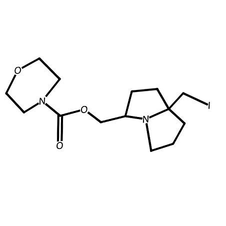 O=C(OCC1CCC2(CI)CCCN12)N1CCOCC1